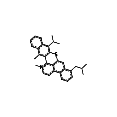 Cc1c2c(c(C(C)C)c3ccccc13)Sc1cc3c(CC(C)C)cccc3c3cc[n+](C)c-2c13